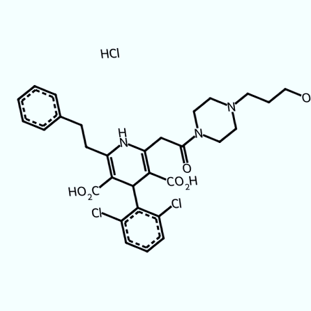 Cl.O=C(O)C1=C(CCc2ccccc2)NC(CC(=O)N2CCN(CCCO)CC2)=C(C(=O)O)C1c1c(Cl)cccc1Cl